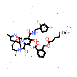 CCCCCCCCCCCCCC(=O)OCc1ccccc1C(=O)Oc1c2n(cc(C(=O)NCc3ccc(F)cc3F)c1=O)[C@@H]1CN(C2=O)[C@@H](C)CC[C@]12CC(C)=NO2